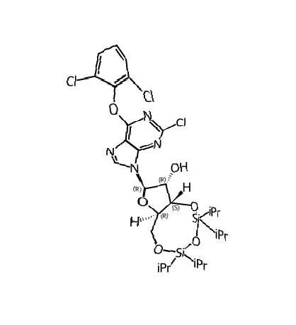 CC(C)[Si]1(C(C)C)OC[C@H]2O[C@@H](n3cnc4c(Oc5c(Cl)cccc5Cl)nc(Cl)nc43)[C@H](O)[C@@H]2O[Si](C(C)C)(C(C)C)O1